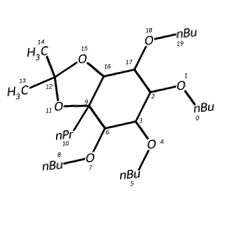 CCCCOC1C(OCCCC)C(OCCCC)C2(CCC)OC(C)(C)OC2C1OCCCC